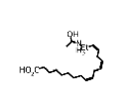 CC(N)O.CC/C=C\C/C=C\C/C=C\CCCCCCCC(=O)O